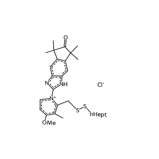 CCCCCCCSSCc1c(C)c(OC)cc[n+]1-c1nc2cc3c(cc2[nH]1)C(C)(C)C(=O)C3(C)C.[Cl-]